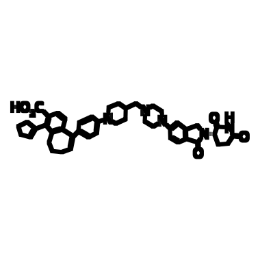 O=C1CC[C@H](N2Cc3cc(N4CCN(CC5CCN(c6ccc(C7=CCCCc8c7ccc(C(=O)O)c8C7=CCCC7)cc6)CC5)CC4)ccc3C2=O)C(=O)N1